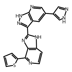 c1csc(-c2nccc3[nH]c(-c4n[nH]c5ncc(-c6cn[nH]c6)cc45)nc23)c1